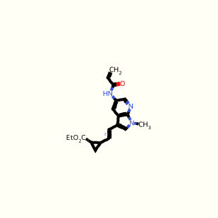 C=CC(=O)Nc1cnc2c(c1)c(/C=C/C1CC1C(=O)OCC)cn2C